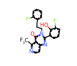 O=c1c2c(C(F)(F)F)nccc2nc(-c2cccc(F)c2O)n1CCc1ccccc1F